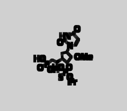 CO[C@H]1C(n2ccc(=O)[nH]c2=O)C[C@H](CCP(=O)(O)O)[C@H]1OP(O)(=S)OC(C)C